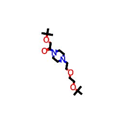 CC(C)(C)OCCOCCN1CCN(C(=O)COC(C)(C)C)CC1